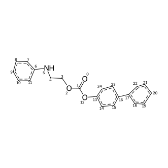 O=C(OCCNc1ccccc1)Oc1ccc(-c2ccccc2)cc1